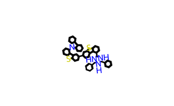 C1=CC(C2NC(c3ccccc3)NC(c3cccc4sc5cc(-c6ccc7sc8cccc(-n9c%10ccccc%10c%10ccccc%109)c8c7c6)ccc5c34)N2)=CCC1